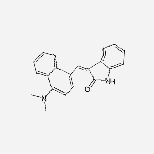 CN(C)c1ccc(C=C2C(=O)Nc3ccccc32)c2ccccc12